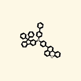 c1ccc(-c2ccc(N(c3ccc(-c4ccc5c6c(cccc46)Oc4ccccc4-5)cc3)c3ccc4c(c3)C(c3ccccc3)(c3ccccc3)c3ccccc3-4)cc2)cc1